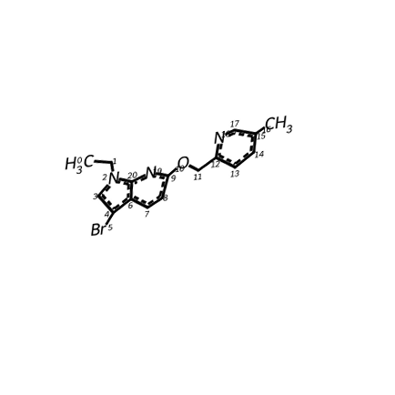 CCn1cc(Br)c2ccc(OCc3ccc(C)cn3)nc21